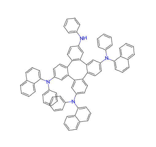 c1ccc(Nc2ccc3c(c2)-c2cc(N(c4ccccc4)c4cccc5ccccc45)ccc2-c2ccc(N(c4ccccc4)c4cccc5ccccc45)cc2-c2cc(N(c4ccccc4)c4cccc5ccccc45)ccc2-3)cc1